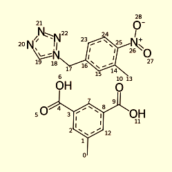 Cc1cc(C(=O)O)cc(C(=O)O)c1.Cc1cc(Cn2cnnn2)ccc1[N+](=O)[O-]